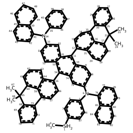 C[SiH2]c1ccc(N(c2ccc3c(-c4ccc5c6c(cccc46)C(C)(C)c4ccccc4-5)c4cc(N(c5ccccc5)c5cccc6ccccc56)ccc4c(-c4ccc5c6c(cccc46)C(C)(C)c4ccccc4-5)c3c2)c2cccc3ccccc23)cc1